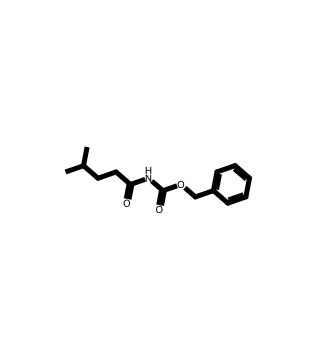 CC(C)CCC(=O)NC(=O)OCc1ccccc1